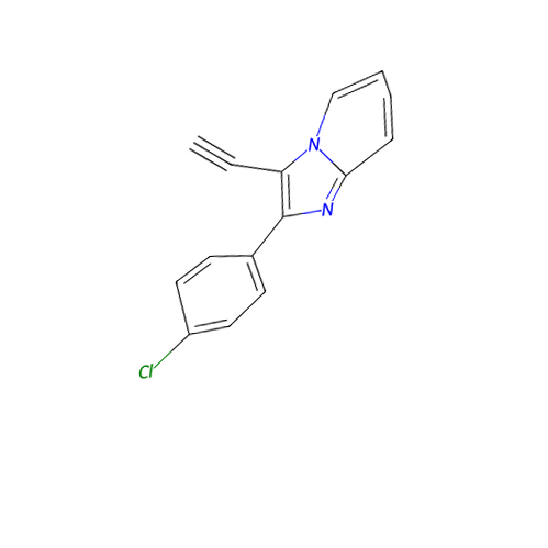 C#Cc1c(-c2ccc(Cl)cc2)nc2ccccn12